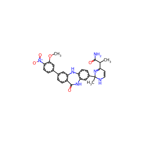 COc1cc(-c2ccc3c(c2)Nc2ccc(C4(C)N=C(C(C)C(N)=O)C=CN4)cc2NC3=O)ccc1[N+](=O)[O-]